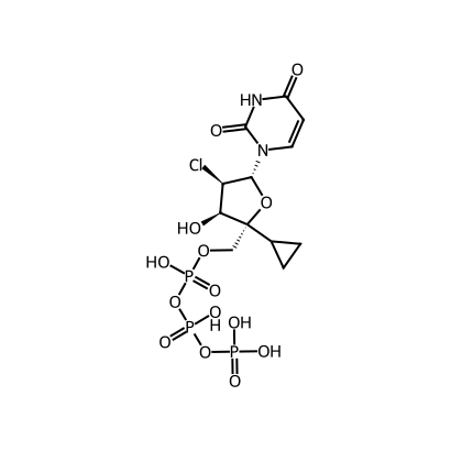 O=c1ccn([C@@H]2O[C@@](COP(=O)(O)OP(=O)(O)OP(=O)(O)O)(C3CC3)[C@@H](O)[C@H]2Cl)c(=O)[nH]1